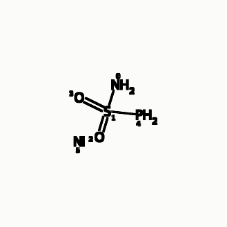 NS(=O)(=O)P.[Ni]